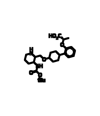 C[C@@H](Oc1ccccc1C1CCC(OCC2NCCCC2NC(=O)OC(C)(C)C)CC1)C(=O)O